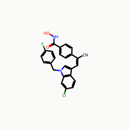 N#CC(=Cc1cn(Cc2ccc(F)cc2)c2cc(Cl)ccc12)c1ccc(C(=O)NO)cc1